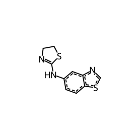 c1nc2cc(NC3=NCCS3)ccc2s1